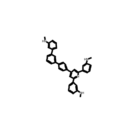 CNc1cccc(-c2cccc(-c3ccc(-c4cc(-c5cccc(NC)c5)nc(-c5cccc(NC)c5)c4)cc3)c2)c1